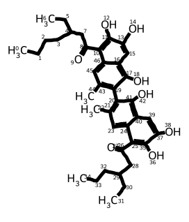 CCCCC(CC)CC(=O)c1c(O)c(O)cc2c(O)c(-c3c(C)cc4c(C(=O)CC(CC)CCC)c(O)c(O)cc4c3O)c(C)cc12